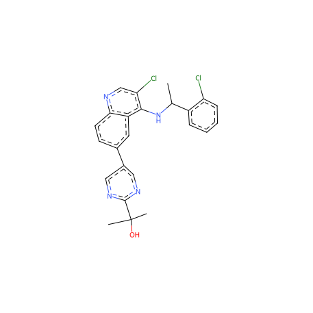 CC(Nc1c(Cl)cnc2ccc(-c3cnc(C(C)(C)O)nc3)cc12)c1ccccc1Cl